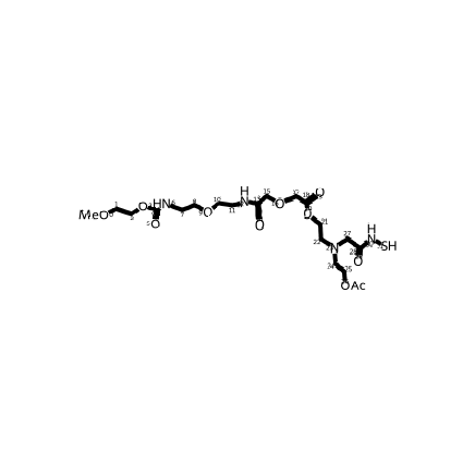 COCCOC(=O)NCCOCCNC(=O)COCC(=O)OCCN(CCOC(C)=O)CC(=O)NS